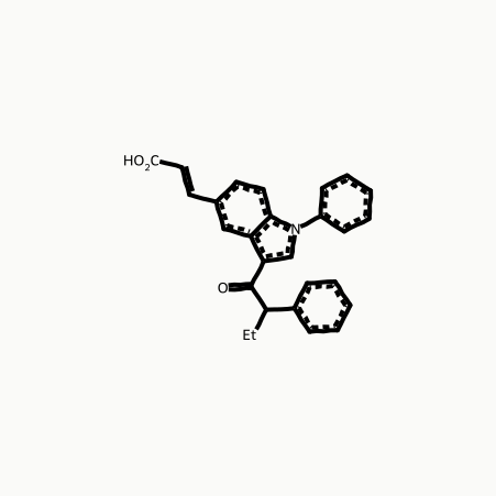 CCC(C(=O)c1cn(-c2ccccc2)c2ccc(C=CC(=O)O)cc12)c1ccccc1